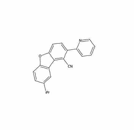 CC(C)c1ccc2oc3ccc(-c4ccccn4)c(C#N)c3c2c1